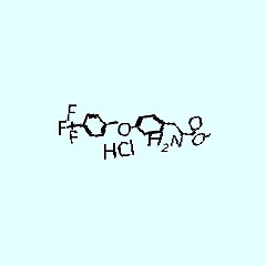 COC(=O)C(N)Cc1ccc(OCc2ccc(C(F)(F)F)cc2)cc1.Cl